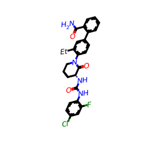 CCc1cc(-c2ccccc2C(N)=O)ccc1N1CCC[C@@H](NC(=O)Nc2ccc(Cl)cc2F)C1=O